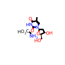 Cc1cn([C@H]2C[C@H](O)[C@@H](CO)O2)c(=O)[nH]c1=O.NCC(=O)O